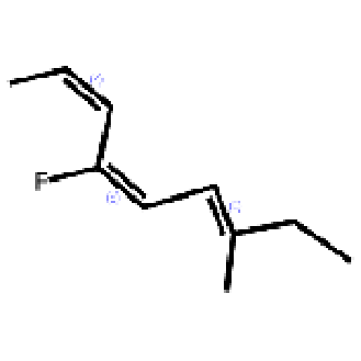 C\C=C/C(F)=C\C=C(/C)CC